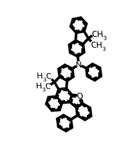 CC1(C)c2ccccc2-c2ccc(N(c3ccccc3)c3ccc4c(c3)-c3c(c5ccccc5c5c3oc3cccc(-c6ccccc6)c35)C4(C)C)cc21